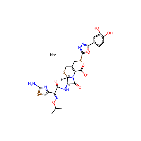 CC(C)ON=C(C(=O)N[C@@H]1C(=O)N2C(C(=O)[O-])=C(CSc3nnc(-c4ccc(O)c(O)c4)o3)CS[C@@H]12)c1csc(N)n1.[Na+]